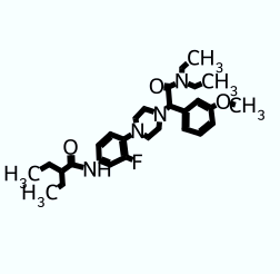 CCC(CC)C(=O)Nc1ccc(N2CCN(C(C(=O)N(CC)CC)c3cccc(OC)c3)CC2)c(F)c1